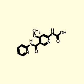 COc1cc(NC(=O)O)ncc1C(=O)Nc1ccccn1